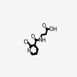 O=C(O)CCNC(=O)c1cccnc1Cl